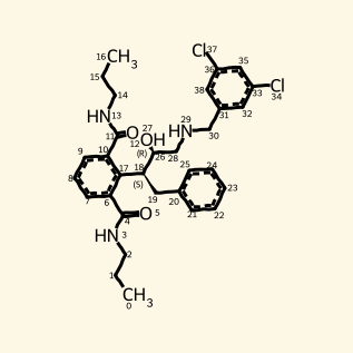 CCCNC(=O)c1cccc(C(=O)NCCC)c1[C@H](Cc1ccccc1)[C@@H](O)CNCc1cc(Cl)cc(Cl)c1